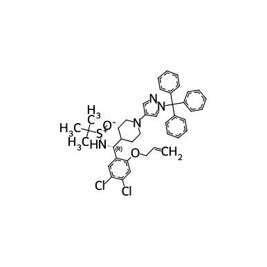 C=CCOc1cc(Cl)c(Cl)cc1[C@H](N[S+]([O-])C(C)(C)C)C1CCN(c2cnn(C(c3ccccc3)(c3ccccc3)c3ccccc3)c2)CC1